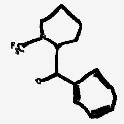 [O]C(c1ccccc1)C1CCCCN1C(F)(F)F